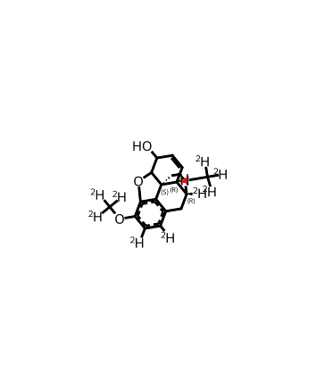 [2H]c1c([2H])c(OC([2H])([2H])[2H])c2c3c1C[C@]1([2H])[C@@H]4C=CC(O)C(O2)[C@]34CCN1C([2H])([2H])[2H]